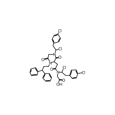 O=C(O)CN(C(=O)CC1C(=O)N(C(Cl)Cc2ccc(Cl)cc2)CC(=O)N1CCC(c1ccccc1)c1ccccc1)C(Cl)Cc1ccc(Cl)cc1